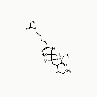 CCC(C)C(CC(C)(C)C(C)(C)NC(=O)OCCCSC(C)=O)C(=O)OC